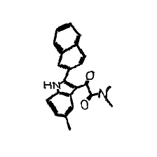 Cc1ccc2[nH]c(-c3ccc4ccccc4c3)c(C(=O)C(=O)N(C)C)c2c1